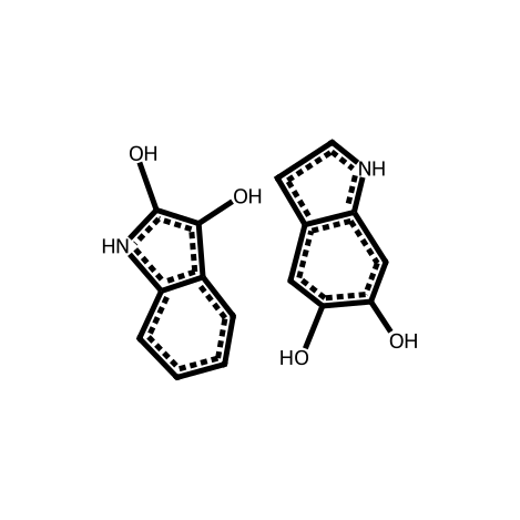 Oc1[nH]c2ccccc2c1O.Oc1cc2cc[nH]c2cc1O